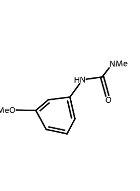 CNC(=O)Nc1cccc(OC)c1